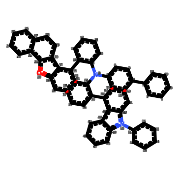 c1ccc(-c2ccc(N(c3ccccc3-c3cccc4oc5c6ccccc6ccc5c34)c3ccccc3-c3cccc4c3c3ccccc3n4-c3ccccc3)cc2)cc1